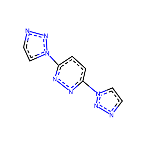 c1cn(-c2ccc(-n3ccnn3)nn2)nn1